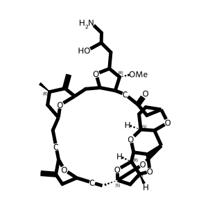 C=C1CC2CC[C@@]34C[C@H]5OC6C(O3)C3OC(CC[C@@H]3OC6[C@@H]5O4)CC(=O)CC3C(CC4OC(CCC1O2)C[C@@H](C)C4=C)OC(CC(O)CN)[C@@H]3OC